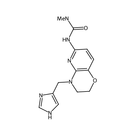 CNC(=O)Nc1ccc2c(n1)N(Cc1c[nH]cn1)CCO2